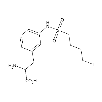 NC(Cc1cccc(NS(=O)(=O)CCCCI)c1)C(=O)O